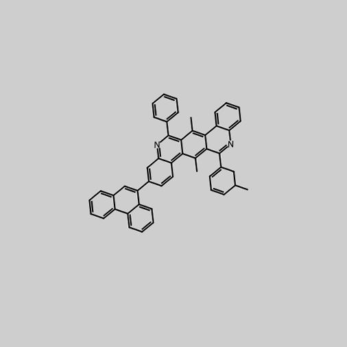 Cc1c2c(-c3ccccc3)nc3cc(-c4cc5ccccc5c5ccccc45)ccc3c2c(C)c2c(C3=CC=CC(C)C3)nc3ccccc3c12